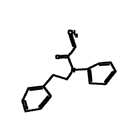 C=CC(=O)N(CCc1ccccc1)c1ccccc1